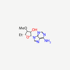 CC[C@H]1O[C@@H](n2cnc3c(N)ncnc32)C(O)C1OC